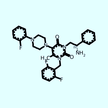 Cc1c(N2CCN(c3ccccc3F)CC2)c(=O)n(C[C@@H](N)c2ccccc2)c(=O)n1Cc1c(F)cccc1F